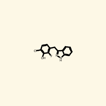 Oc1c(Cl)ccc(Cc2n[nH]c3ccccc23)c1F